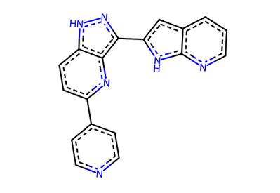 c1cnc2[nH]c(-c3n[nH]c4ccc(-c5ccncc5)nc34)cc2c1